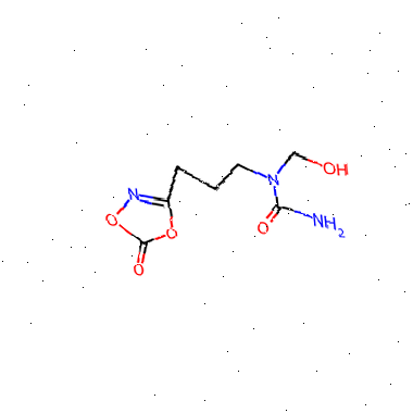 NC(=O)N(CO)CCCc1noc(=O)o1